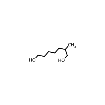 CC(CO)CCCCCO